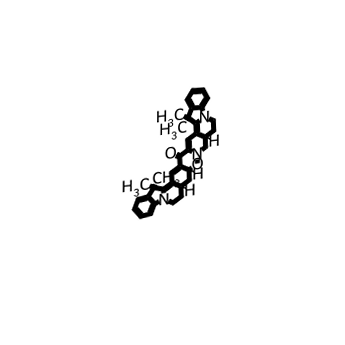 CC1(C)C2=C3C=C4C(=O)C5=CC6=C7N(CC[C@H]6CN5O[C@H]4C[C@H]3CCN2c2ccccc21)c1ccccc1C7(C)C